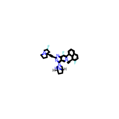 C#Cc1c(F)ccc2cccc(-c3ncc4c(N5C[C@H]6CC[C@@H](C5)N6)nc(C#CC56CCCN5CC(F)C6)nc4c3F)c12